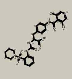 O=C(Nc1ccccc1S(=O)(=O)N1CCCCC1)NC(Cc1ccc(NC(=O)c2c(Cl)cncc2Cl)cc1)C(=O)O